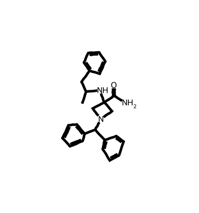 CC(Cc1ccccc1)NC1(C(N)=O)CN(C(c2ccccc2)c2ccccc2)C1